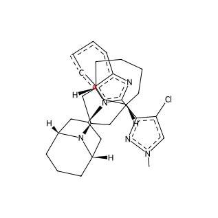 Cn1cc(Cl)c(-c2nc3ccccc3n2[C@@H]2C[C@H]3CCC[C@@H](C2)N3[C@H]2C[C@@H]3CCCC[C@@H](C3)C2)n1